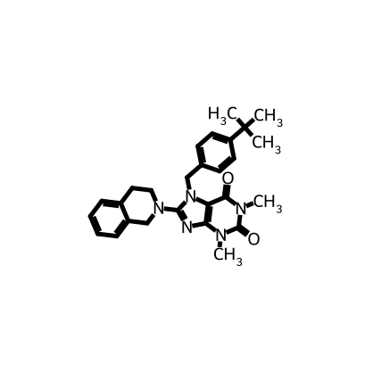 Cn1c(=O)c2c(nc(N3CCc4ccccc4C3)n2Cc2ccc(C(C)(C)C)cc2)n(C)c1=O